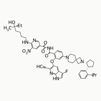 C#Cc1nc2[nH]cc(F)c2cc1Oc1cc(N2CCC3(CC2)CN([C@@H]2CCC[C@@H]2c2ccccc2C(C)C)C3)ccc1C(=O)NS(=O)(=O)c1cnc(NCCCC[C@](C)(O)CC)c([N+](=O)[O-])c1